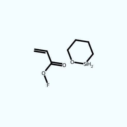 C1CC[SiH2]OC1.C=CC(=O)OF